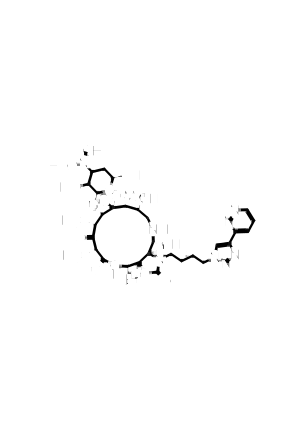 CC[C@H]1OC(=O)[C@H](C)C(=O)[C@H](C)[C@@H](O[C@@H]2O[C@H](C)CC(N(C)C)C2O)[C@](C)(OC)C[C@@H](C)CN[C@H](C)[C@H]2N(CCCCn3cc(-c4cccnn4)nn3)C(=O)O[C@]12C